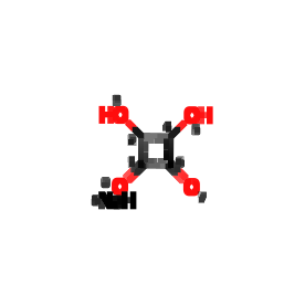 O=c1c(O)c(O)c1=O.[NaH]